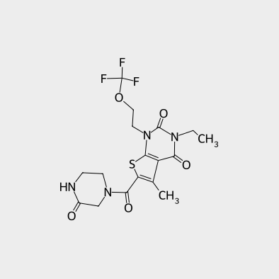 CCn1c(=O)c2c(C)c(C(=O)N3CCNC(=O)C3)sc2n(CCOC(F)(F)F)c1=O